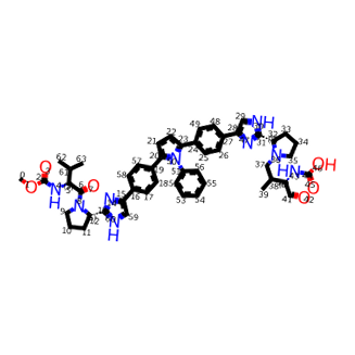 COC(=O)N[C@H](C(=O)N1CCC[C@H]1c1nc(-c2ccc(-c3ccc(-c4ccc(-c5c[nH]c([C@@H]6CCCN6CC(C)[C@@H](C=O)NC(=O)O)n5)cc4)n3-c3ccccc3)cc2)c[nH]1)C(C)C